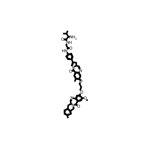 COc1cc2c(cc1OCCCOc1cc3c(cc1C)C(=O)N1C=C(c4ccc(NC(=O)CNC(=O)C(N)C(C)C)cc4)CC1C=N3)N=CC1Cc3ccc(C)cc3CN1C2=O